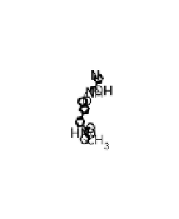 CS(=O)(=O)NC(=O)c1cccc(-c2ccc3c(c2)CC[C@H](CNC[C@H](O)c2cccnc2)O3)c1